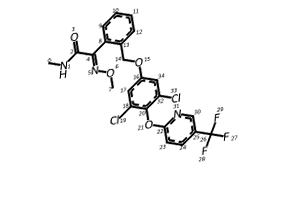 CNC(=O)/C(=N/OC)c1ccccc1COc1cc(Cl)c(Oc2ccc(C(F)(F)F)cn2)c(Cl)c1